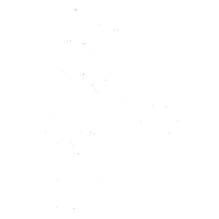 c1ccc2c(-c3cc4cc(c3)N(c3ccc5sc6ccccc6c5c3)c3cccc5sc6cccc(c6c35)N4c3ccc4sc5ccccc5c4c3)cccc2c1